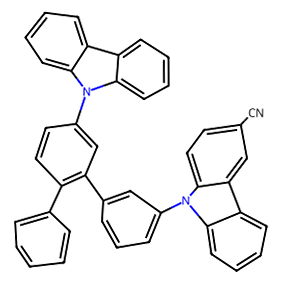 N#Cc1ccc2c(c1)c1ccccc1n2-c1cccc(-c2cc(-n3c4ccccc4c4ccccc43)ccc2-c2ccccc2)c1